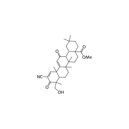 COC(=O)C12CCC(C)(C)CC1C1C(=O)C=C3C4(C)C=C(C#N)C(=O)C(C)(CO)C4CCC3(C)C1(C)CC2